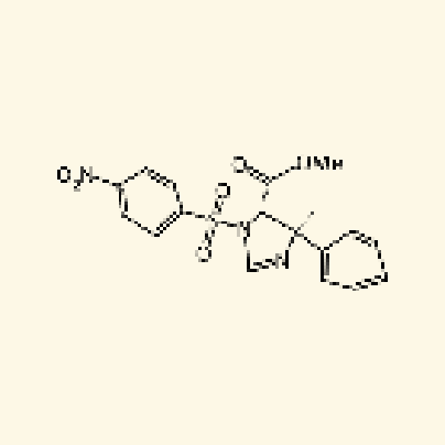 COC(=O)[C@H]1N(S(=O)(=O)c2ccc([N+](=O)[O-])cc2)C=N[C@]1(C)c1ccccc1